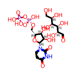 O=C[C@H](O)[C@@H](O)[C@@H](O)[C@H](O)CO.O=c1ccn([C@@H]2O[C@H](COP(=O)(O)OP(=O)(O)O)[C@@H](O)[C@H]2O)c(=O)[nH]1